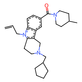 C=CCn1c2c(c3cc(C(=O)N4CCC(C)CC4)ccc31)CN(CC1CCCC1)CC2